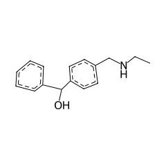 CCNCc1ccc(C(O)c2ccccc2)cc1